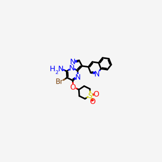 Nc1c(Br)c(OC2CCS(=O)(=O)CC2)nc2c(-c3cnc4ccccc4c3)cnn12